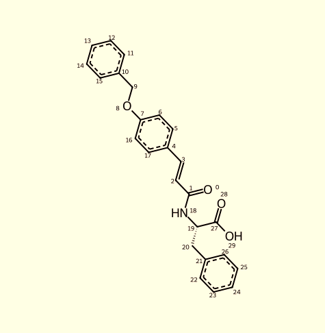 O=C(C=Cc1ccc(OCc2ccccc2)cc1)N[C@@H](Cc1ccccc1)C(=O)O